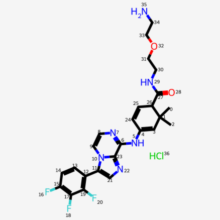 CC1(C)C=C(Nc2nccn3c(-c4ccc(F)c(F)c4F)cnc23)C=CC1C(=O)NCCOCCN.Cl